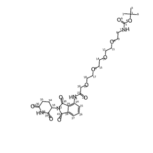 CC(C)(C)OC(=O)NCCOCCOCCOCCOCC(=O)Nc1cccc2c1C(=O)N(C1CCC(=O)NC1=O)C2=O